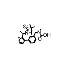 C[C@@H](N[S@+]([O-])C(C)(C)C)c1sccc1-c1cccc(CN(C)C(=O)O)c1